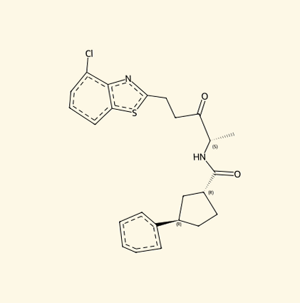 C[C@H](NC(=O)[C@@H]1CC[C@@H](c2ccccc2)C1)C(=O)CCc1nc2c(Cl)cccc2s1